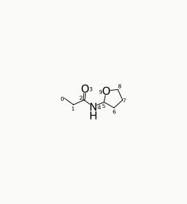 CCC(=O)NC1CCCO1